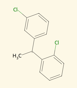 C[C](c1cccc(Cl)c1)c1ccccc1Cl